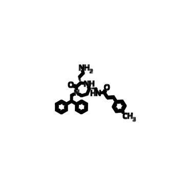 Cc1ccc(C=CC(=O)NC[C@@H]2CCN(CC(c3ccccc3)c3ccccc3)C(=O)[C@H](CCN)N2)cc1